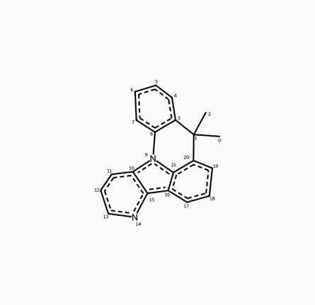 CC1(C)c2ccccc2-n2c3cccnc3c3cccc1c32